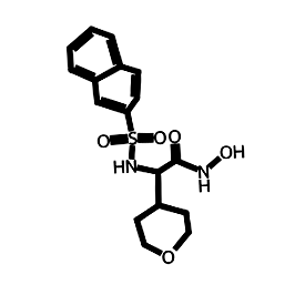 O=C(NO)C(NS(=O)(=O)c1ccc2ccccc2c1)C1CCOCC1